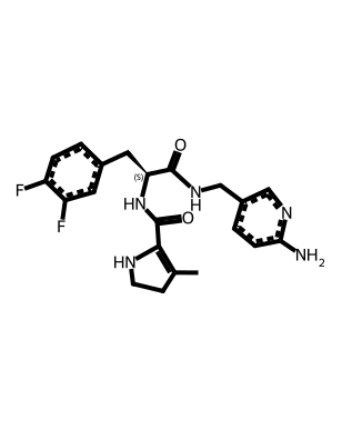 CC1=C(C(=O)N[C@@H](Cc2ccc(F)c(F)c2)C(=O)NCc2ccc(N)nc2)NCC1